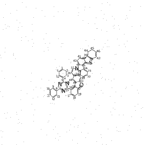 C1=CCCC(c2nc(-c3ccccc3)nc(-c3cccc4oc5ccc(C=Cn6c7ccccc7c7c8sc9c(c8ccc76)CCC=C9)cc5c34)n2)=C1